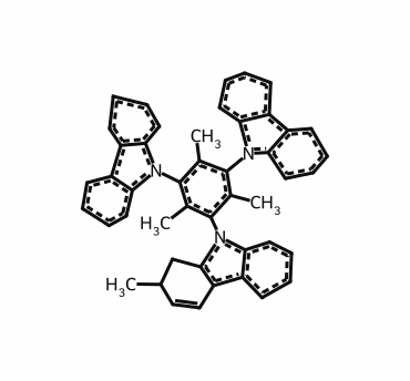 Cc1c(-n2c3c(c4ccccc42)C=CC(C)C3)c(C)c(-n2c3ccccc3c3ccccc32)c(C)c1-n1c2ccccc2c2ccccc21